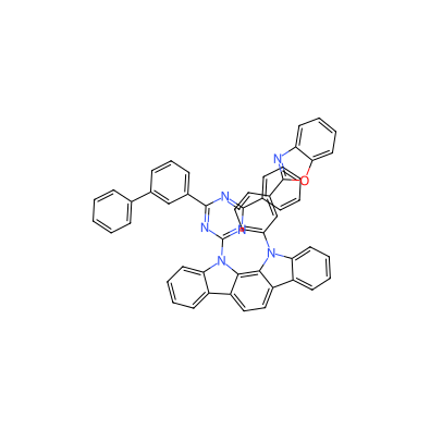 c1ccc(-c2cccc(-c3nc(-c4ccccc4)nc(-n4c5ccccc5c5ccc6c7ccccc7n(-c7cccc(-c8nc9ccccc9o8)c7)c6c54)n3)c2)cc1